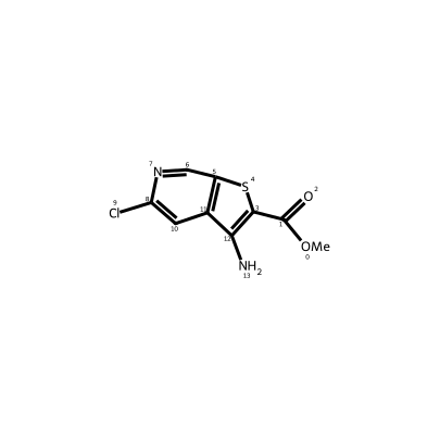 COC(=O)c1sc2cnc(Cl)cc2c1N